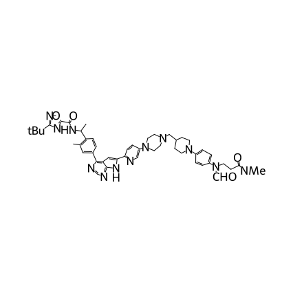 CNC(=O)CCN(C=O)c1ccc(N2CCC(CN3CCN(c4ccc(-c5cc6c(-c7ccc(C(C)NC(=O)c8nc(C(C)(C)C)no8)c(C)c7)ncnc6[nH]5)nc4)CC3)CC2)cc1